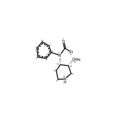 CCC(=O)N(c1ccccc1)[C@H]1CCNC[C@H]1OC